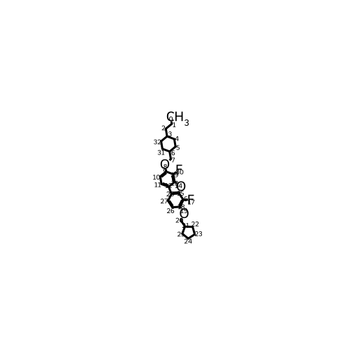 CCCC1CCC(COc2ccc3c(oc4c(F)c(OCC5CCCC5)ccc43)c2F)CC1